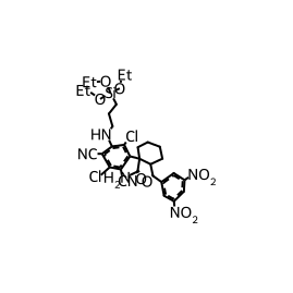 CCO[Si](CCCNc1c(Cl)c(C2(C(N)=O)CCCCC2C(=O)c2cc([N+](=O)[O-])cc([N+](=O)[O-])c2)c(C#N)c(Cl)c1C#N)(OCC)OCC